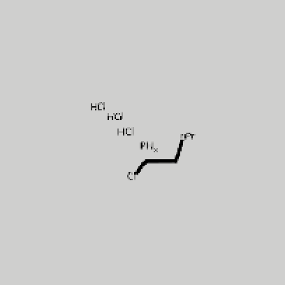 CCCCCCl.Cl.Cl.Cl.P